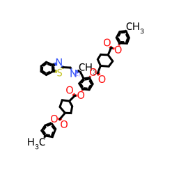 C/C(=N\Cc1nc2ccccc2s1)c1cc(OC(=O)C2CCC(C(=O)Oc3ccc(C)cc3)CC2)ccc1OC(=O)C1CCC(C(=O)Oc2ccc(C)cc2)CC1